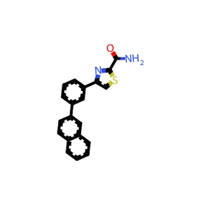 NC(=O)c1nc(-c2cccc(-c3ccc4ccccc4c3)c2)cs1